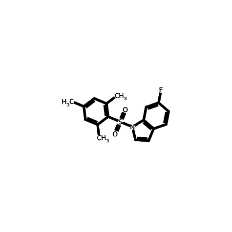 Cc1cc(C)c(S(=O)(=O)n2ccc3ccc(F)cc32)c(C)c1